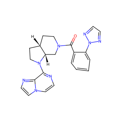 O=C(c1ccccc1-n1nccn1)N1CC[C@H]2CCN(c3nccn4ccnc34)[C@H]2C1